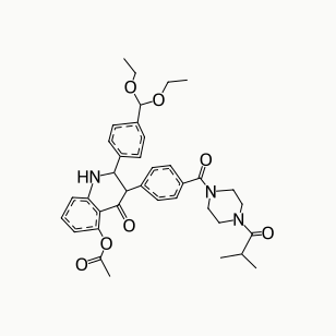 CCOC(OCC)c1ccc(C2Nc3cccc(OC(C)=O)c3C(=O)C2c2ccc(C(=O)N3CCN(C(=O)C(C)C)CC3)cc2)cc1